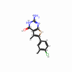 Cc1cc(-c2sc3nc(N)[nH]c(=O)c3c2C)ccc1Cl